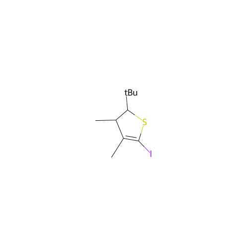 CC1=C(I)SC(C(C)(C)C)C1C